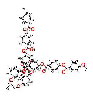 COc1ccc(C(=O)Oc2ccc(C(=O)Oc3ccc(C(=O)Oc4cccc5c4-c4c(cccc4OC(=O)c4ccc(OC(=O)c6ccc(OC(=O)c7ccc(C)cc7)cc6)cc4)OC[C@@H](C)O5)cc3)cc2)cc1